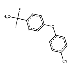 CC(F)(F)c1ccc(Oc2ccc(C#N)cc2)cn1